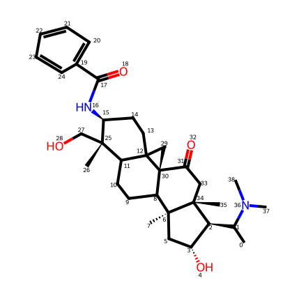 CC([C@H]1[C@H](O)C[C@@]2(C)C3CCC4C5(CC[C@H](NC(=O)c6ccccc6)[C@@]4(C)CO)C[C@@]35C(=O)C[C@]12C)N(C)C